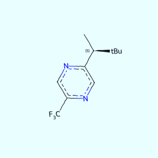 C[C@H](c1cnc(C(F)(F)F)cn1)C(C)(C)C